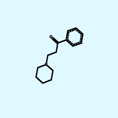 O=C(CCN1CCCCC1)c1c[c]ccc1